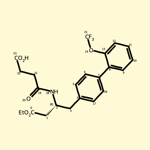 CCOC(=O)C[C@@H](Cc1ccc(-c2ccccc2OC(F)(F)F)cc1)NC(=O)CCC(=O)O